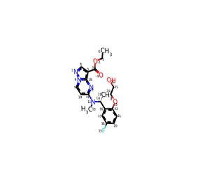 CCOC(=O)c1cnn2ccc(N(C)[C@H](C)c3cc(F)ccc3OCCO)nc12